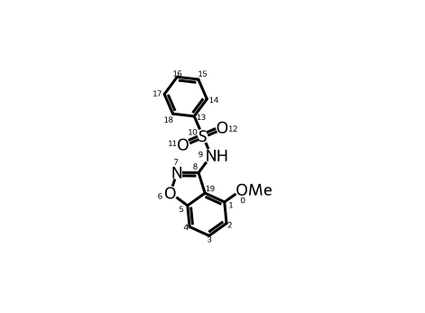 COc1cccc2onc(NS(=O)(=O)c3ccccc3)c12